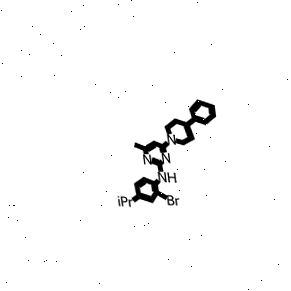 Cc1cc(N2CC=C(c3ccccc3)CC2)nc(Nc2ccc(C(C)C)cc2Br)n1